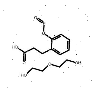 O=POc1ccccc1CCC(=O)O.OCCOCCO